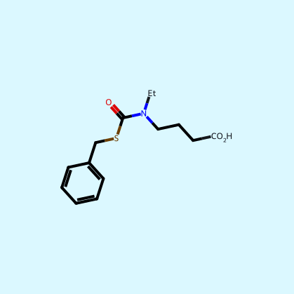 CCN(CCCC(=O)O)C(=O)SCc1ccccc1